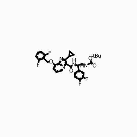 CC(C)(C)OC(=O)NCC(NC(=O)c1c(C2CC2)nc2c(OCc3c(F)cccc3F)cccn12)c1ccc(F)c(F)c1